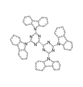 c1ccc2c(c1)c1ccccc1n2-c1nc(-c2nc(-n3c4ccccc4c4ccccc43)nc(-n3c4ccccc4c4ccccc43)n2)nc(-n2c3ccccc3c3ccccc32)n1